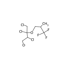 CC(COC(Cl)(CCl)C(Cl)C[O])C(F)(F)F